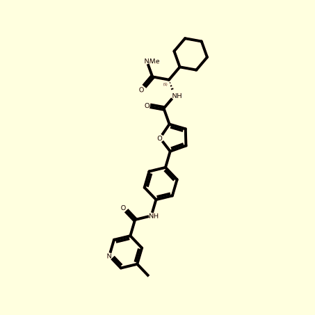 CNC(=O)[C@@H](NC(=O)c1ccc(-c2ccc(NC(=O)c3cncc(C)c3)cc2)o1)C1CCCCC1